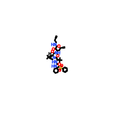 C#CCCNC(=O)C(=O)C(CCC#C)NC(=O)[C@@H]1[C@H]2C(CN1C(=O)[C@@H](NC(=O)NC1(CS(=O)(=O)c3ccccc3)CCCCC1)C(C)(C)C)C2(C)C